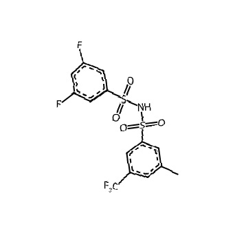 Cc1cc(C(F)(F)F)cc(S(=O)(=O)NS(=O)(=O)c2cc(F)cc(F)c2)c1